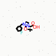 CC(C)(C)[C@@H](C(=O)O)N1CCN(Cc2cccc(F)c2)C1=O